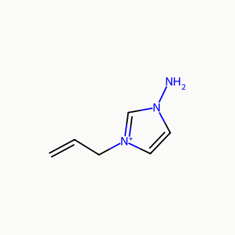 C=CC[n+]1ccn(N)c1